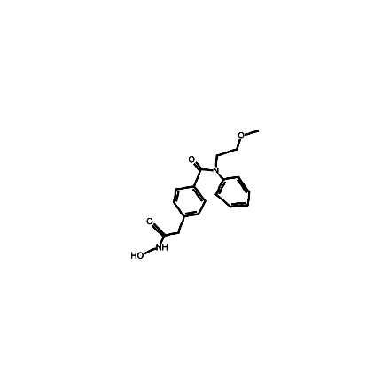 COCCN(C(=O)c1ccc(CC(=O)NO)cc1)c1ccccc1